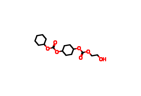 O=C(OCCO)OC1CCC(OC(=O)OC2CCCCC2)CC1